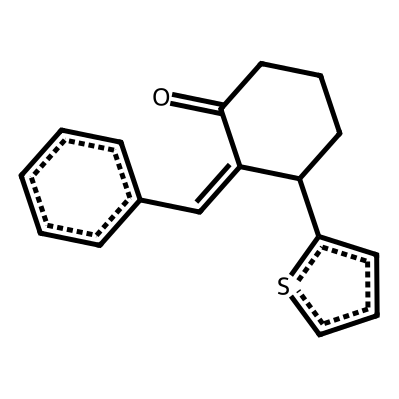 O=C1CCCC(c2cccs2)/C1=C/c1ccccc1